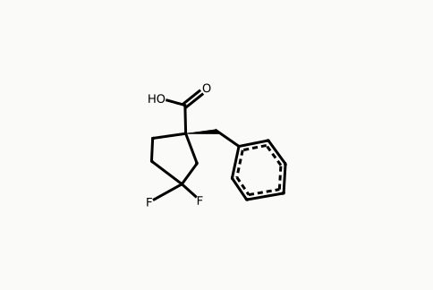 O=C(O)[C@@]1(Cc2ccccc2)CCC(F)(F)C1